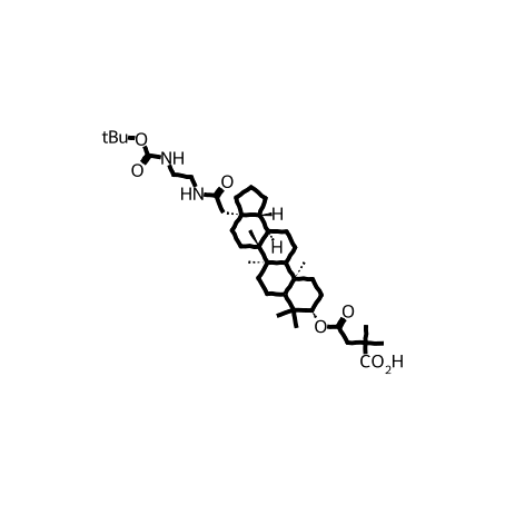 CC(C)(C)OC(=O)NCCNC(=O)C[C@]12CCC[C@@H]1[C@H]1CCC3[C@@]4(C)CC[C@H](OC(=O)CC(C)(C)C(=O)O)C(C)(C)C4CC[C@@]3(C)[C@]1(C)CC2